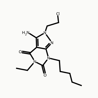 CCCCCn1c(=O)n(CC)c(=O)c2c(N)n(CCCl)nc21